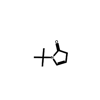 CC(C)(C)N1C=CCC1=O